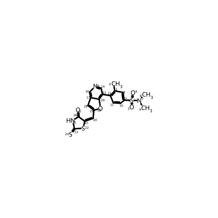 Cc1cc(S(=O)(=O)N(C)C)ccc1-c1cncc2cc(C=C3SC(=S)NC3=O)oc12